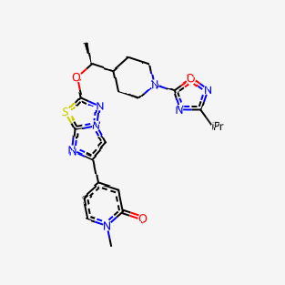 CC(C)c1noc(N2CCC([C@H](C)Oc3nn4cc(-c5ccn(C)c(=O)c5)nc4s3)CC2)n1